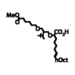 CCCCCCCCC=CCCCCC(OCC(COCCCCCC(=O)OC)N(C)C)C(=O)O